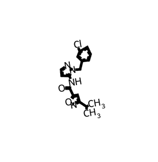 CC(C)c1cc(C(=O)Nc2ccnn2Cc2cccc(Cl)c2)on1